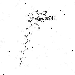 CCCCCCCCCCCCC(C)[Si](CC)(CC)OC(=O)O